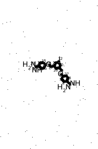 N=C(N)c1ccc(OCc2cc(I)cc(COc3ccc(C(=N)N)cc3)c2)cc1